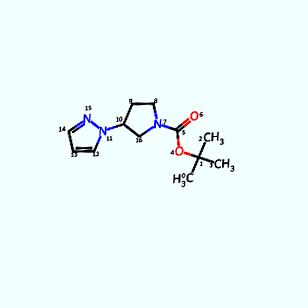 CC(C)(C)OC(=O)N1CCC(n2cccn2)C1